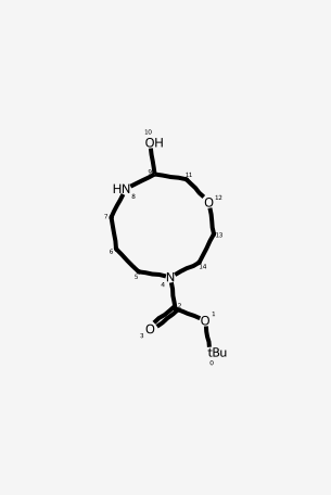 CC(C)(C)OC(=O)N1CCCNC(O)COCC1